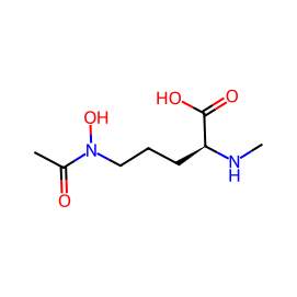 CN[C@@H](CCCN(O)C(C)=O)C(=O)O